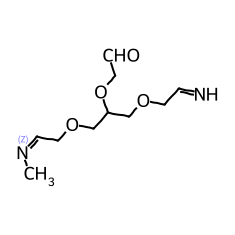 C/N=C\COCC(COCC=N)OCC=O